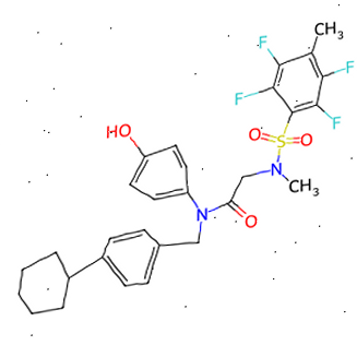 Cc1c(F)c(F)c(S(=O)(=O)N(C)CC(=O)N(Cc2ccc(C3CCCCC3)cc2)c2ccc(O)cc2)c(F)c1F